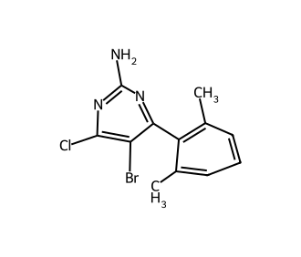 Cc1cccc(C)c1-c1nc(N)nc(Cl)c1Br